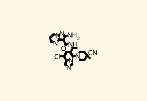 CC(NC(=O)c1c(N)nn2cccnc12)c1cc(Cl)c2cncn2c1N1CCC(C)(C#N)CC1